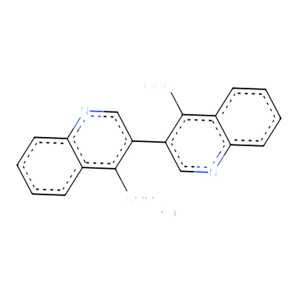 O=C([O-])c1c(-c2cnc3ccccc3c2C(=O)[O-])cnc2ccccc12.[Cu+2]